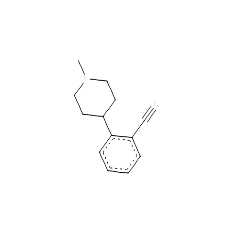 CN1CCC(c2ccccc2C#N)CC1